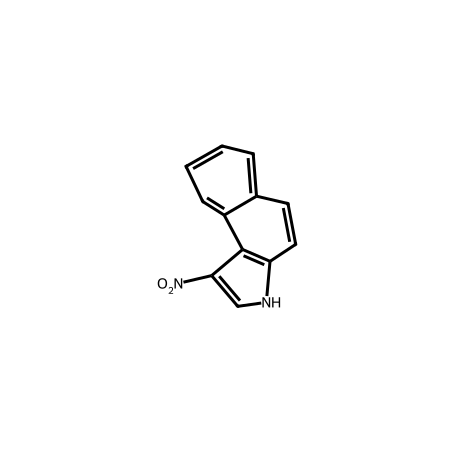 O=[N+]([O-])c1c[nH]c2ccc3ccccc3c12